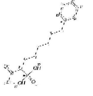 CC(=O)C(CCCCCCc1ccccc1)P(=O)(O)O